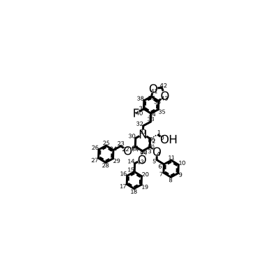 OC[C@@H]1[C@@H](OCc2ccccc2)[C@H](OCc2ccccc2)[C@@H](OCc2ccccc2)CN1CCc1cc2c(cc1F)OCO2